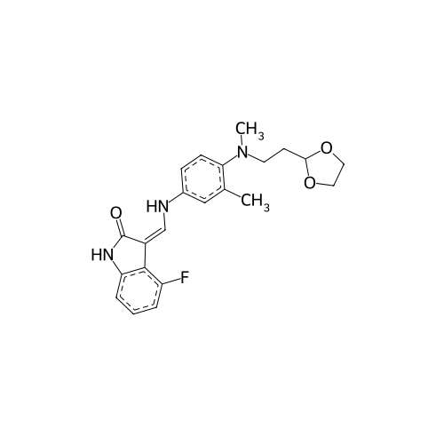 Cc1cc(NC=C2C(=O)Nc3cccc(F)c32)ccc1N(C)CCC1OCCO1